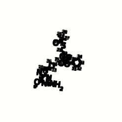 COc1nc(N)nc2c1ncn2[C@H]1C[C@@H](COP(=O)(OCCSC(=O)C(C)(C)C)Oc2ccccc2)C1